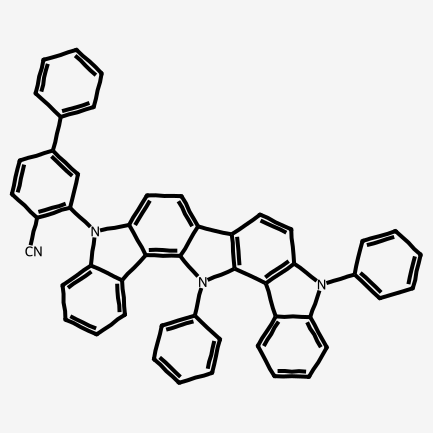 N#Cc1ccc(-c2ccccc2)cc1-n1c2ccccc2c2c1ccc1c3ccc4c(c5ccccc5n4-c4ccccc4)c3n(-c3ccccc3)c12